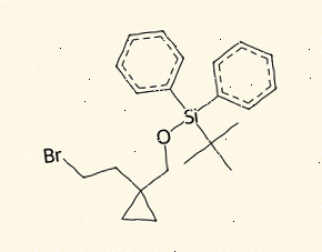 CC(C)(C)[Si](OCC1(CCBr)CC1)(c1ccccc1)c1ccccc1